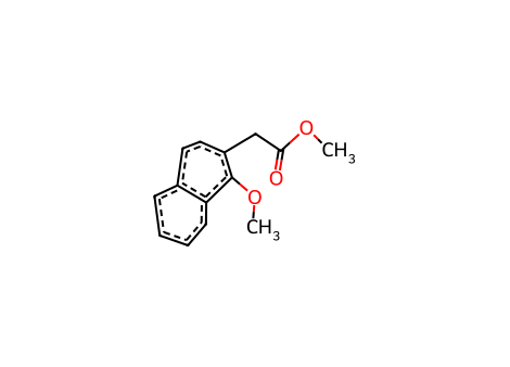 COC(=O)Cc1ccc2ccccc2c1OC